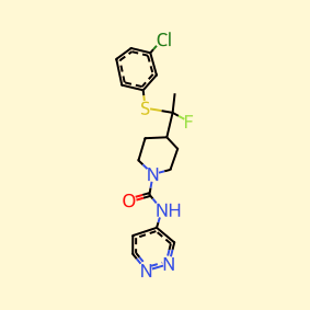 CC(F)(Sc1cccc(Cl)c1)C1CCN(C(=O)Nc2ccnnc2)CC1